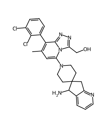 Cc1cc(N2CCC3(CC2)Cc2ncccc2C3N)n2c(CO)nnc2c1-c1cccc(Cl)c1Cl